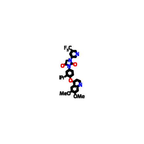 COc1cc2nccc(Oc3ccc(N4C(=O)CN(c5cncc(C(F)(F)F)c5)C4=O)cc3C(C)C)c2cc1OC